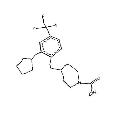 O=C(O)N1CCC(Cc2ccc(C(F)(F)F)cc2C2CCCC2)CC1